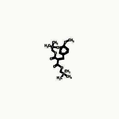 COc1ccc(C=C(C(=O)OC[Si](C)(C)C)C(=O)OC[Si](C)(C)C)cc1